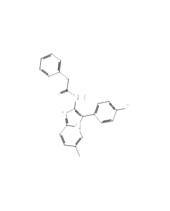 Cc1ccc2nc(NC(=O)Cc3ccccc3)c(-c3ccc(F)cc3)n2c1